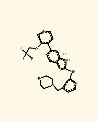 Cl.FC(F)(F)COc1cnccc1-c1ccc2nc(Nc3cc(CN4CCNCC4)ccn3)[nH]c2c1